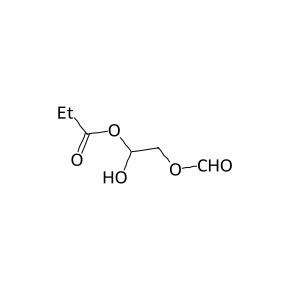 CCC(=O)OC(O)COC=O